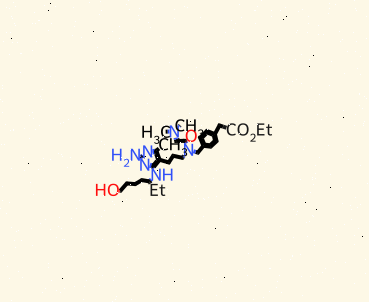 CCOC(=O)Cc1ccc(CN(CCCc2c(C)nc(N)nc2NC(CC)CCCCO)C(=O)CN(C)C)cc1